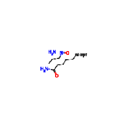 CCCCCCCCCCCC(N)=O.CCCN=O.N